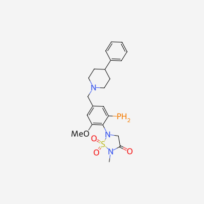 COc1cc(CN2CCC(c3ccccc3)CC2)cc(P)c1N1CC(=O)N(C)S1(=O)=O